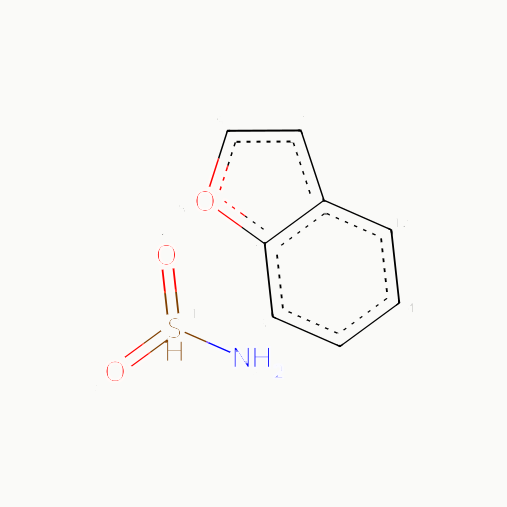 N[SH](=O)=O.c1ccc2occc2c1